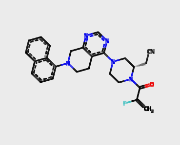 C=C(F)C(=O)N1CCN(c2ncnc3c2CCN(c2cccc4ccccc24)C3)C[C@@H]1CC#N